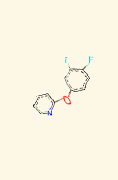 Fc1ccc(Oc2c[c]ccn2)cc1F